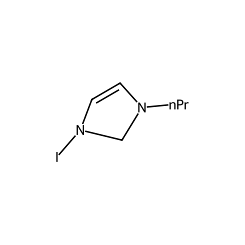 CCCN1C=CN(I)C1